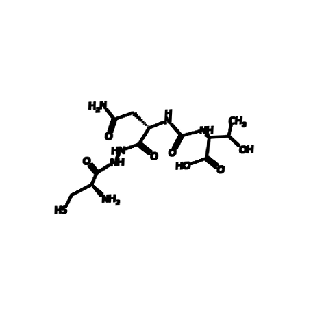 CC(O)[C@H](NC(=O)N[C@@H](CC(N)=O)C(=O)NNC(=O)[C@@H](N)CS)C(=O)O